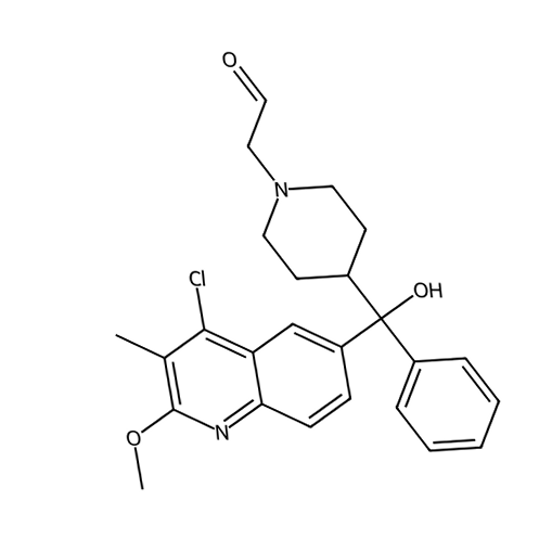 COc1nc2ccc(C(O)(c3ccccc3)C3CCN(CC=O)CC3)cc2c(Cl)c1C